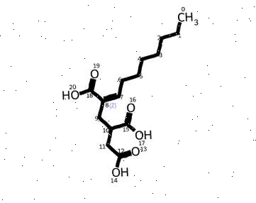 CCCCCCC/C=C(/CC(CC(=O)O)C(=O)O)C(=O)O